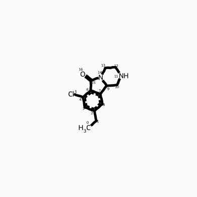 CCc1cc(Cl)c2c(c1)C1CNCCN1C2=O